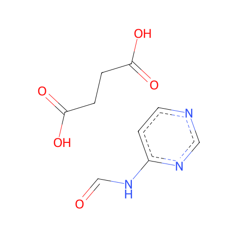 O=C(O)CCC(=O)O.O=CNc1ccncn1